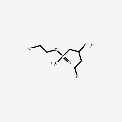 CP(=O)(CC(CCCl)C(=O)O)OCCCl